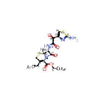 CC(=O)OCOC(=O)C1=C(COC(C)=O)CS[C@@H]2[C@H](NC(=O)C(=O)c3csc(N)n3)C(=O)N12